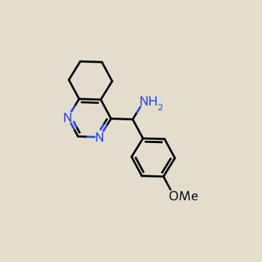 COc1ccc(C(N)c2ncnc3c2CCCC3)cc1